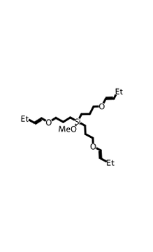 CCC=COCCC[Si](CCCOC=CCC)(CCCOC=CCC)OC